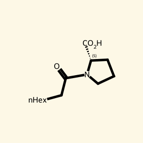 CCCCCCCC(=O)N1CCC[C@H]1C(=O)O